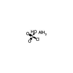 O=S(=O)(O)Cl.[AlH3]